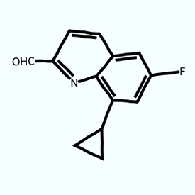 O=Cc1ccc2cc(F)cc(C3CC3)c2n1